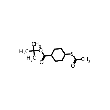 CC(=O)SC1CCC(C(=O)OC(C)(C)C)CC1